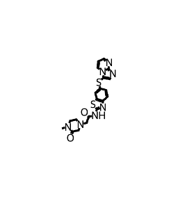 CN1CCN(CC(=O)Nc2nc3ccc(Sc4cnc5ncccn45)cc3s2)CC1=O